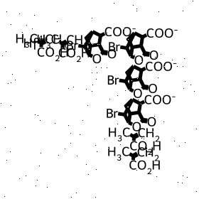 C=C(C)C(=O)O.C=C(C)C(=O)O.C=C(C)C(=O)O.C=C(C)C(=O)O.O=C([O-])C1C2CC3C(OC(=O)C31)C2Br.O=C([O-])C1C2CC3C(OC(=O)C31)C2Br.O=C([O-])C1C2CC3C(OC(=O)C31)C2Br.O=C([O-])C1C2CC3C(OC(=O)C31)C2Br.[Hf+4]